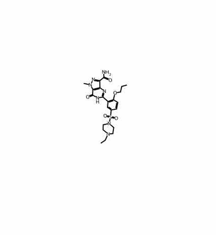 CCCOc1ccc(S(=O)(=O)N2CCN(CC)CC2)cc1-c1nc2c(C(N)=O)nn(C)c2c(=O)[nH]1